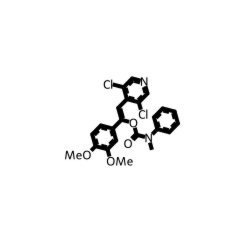 COc1ccc(/C(=C/c2c(Cl)cncc2Cl)OC(=O)N(C)c2ccccc2)cc1OC